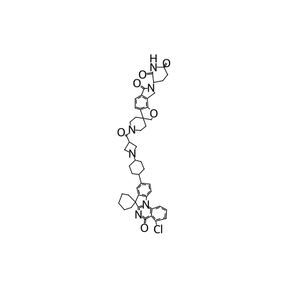 O=C1CC[C@H](N2Cc3c(ccc4c3OCC43CCN(C(=O)C4CN(C5CCC(c6ccc7c(c6)C6(CCCCC6)c6nc(=O)c8c(Cl)cccc8n6-7)CC5)C4)CC3)C2=O)C(=O)N1